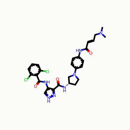 CN(C)C/C=C/C(=O)Nc1ccc(N2CC[C@H](NC(=O)c3n[nH]cc3NC(=O)c3c(Cl)cccc3Cl)C2)cc1